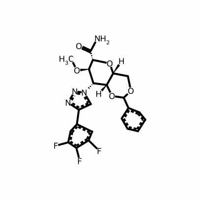 CO[C@@H]1[C@@H](n2cc(-c3cc(F)c(F)c(F)c3)nn2)[C@H]2OC(c3ccccc3)OC[C@H]2O[C@H]1C(N)=O